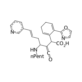 CCCCCNC(CC=Cc1cccnc1)C(=C=O)C(C(=O)O)C1=CCCC=C1c1ncco1